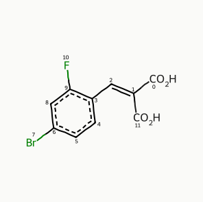 O=C(O)C(=Cc1ccc(Br)cc1F)C(=O)O